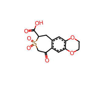 O=C1CS(=O)(=O)C(C(=O)O)Cc2cc3c(cc21)OCCO3